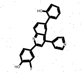 Oc1ccc(-c2cc(-c3ccncc3)c3cc(-c4ccccc4O)ccc3n2)cc1F